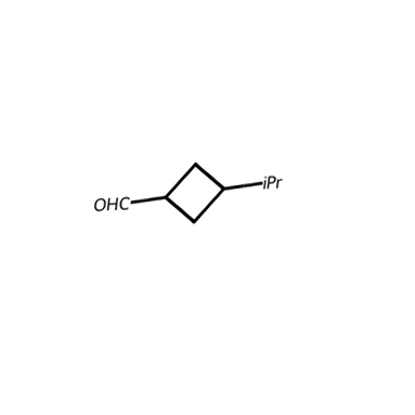 CC(C)C1CC(C=O)C1